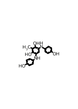 Cc1c(O)c(Nc2ccc(O)cc2)cc(Nc2ccc(O)cc2)c1O